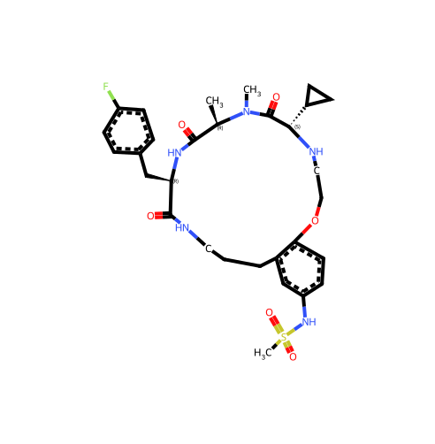 C[C@@H]1C(=O)N[C@H](Cc2ccc(F)cc2)C(=O)NCCCc2cc(NS(C)(=O)=O)ccc2OCCN[C@@H](C2CC2)C(=O)N1C